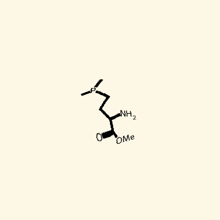 COC(=O)C(N)CCP(C)C